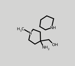 C1CCNCC1.CN1CCC(N)(CO)CC1